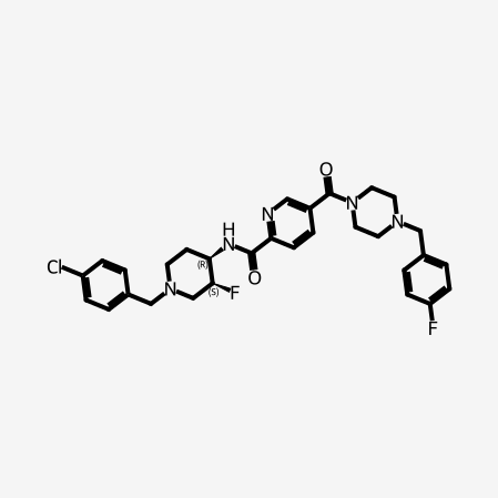 O=C(N[C@@H]1CCN(Cc2ccc(Cl)cc2)C[C@@H]1F)c1ccc(C(=O)N2CCN(Cc3ccc(F)cc3)CC2)cn1